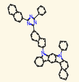 c1ccc(-c2nc(-c3ccc4ccccc4c3)nc(-c3ccc4cc(-n5c6ccccc6c6cc7c8c9ccccc9ccc8n(-c8ccccc8)c7cc65)ccc4c3)n2)cc1